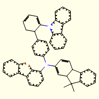 CC1(C)c2ccccc2C2C=CC(N(c3ccc(C4CC=CC=C4n4c5ccccc5c5ccccc54)cc3)c3cccc4c3sc3ccccc34)=CC21